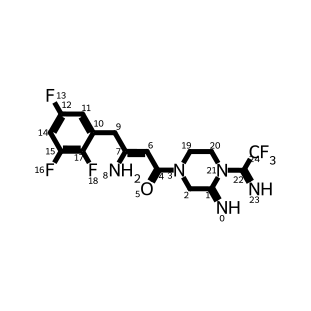 N=C1CN(C(=O)/C=C(\N)Cc2cc(F)cc(F)c2F)CCN1C(=N)C(F)(F)F